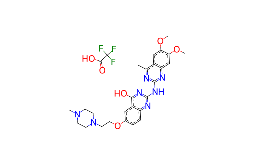 COc1cc2nc(Nc3nc(O)c4cc(OCCN5CCN(C)CC5)ccc4n3)nc(C)c2cc1OC.O=C(O)C(F)(F)F